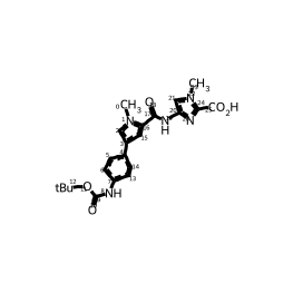 Cn1cc(-c2ccc(NC(=O)OC(C)(C)C)cc2)cc1C(=O)Nc1cn(C)c(C(=O)O)n1